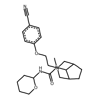 CN(C(=O)NC1CCCCO1)C1C2CCC1CN(CCOc1ccc(C#N)cc1)C2